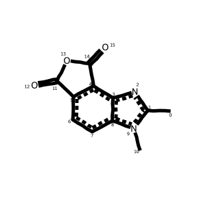 Cc1nc2c3c(ccc2n1C)C(=O)OC3=O